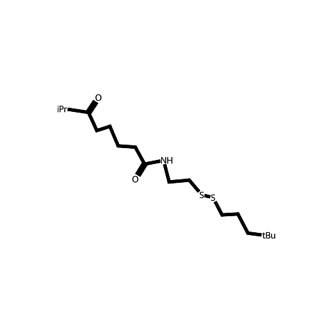 CC(C)C(=O)CCCCC(=O)NCCSSCCCC(C)(C)C